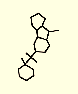 CC1C2CCCCC2C2CC(C(C)(C)C3(C)CCCCC3)CCC12